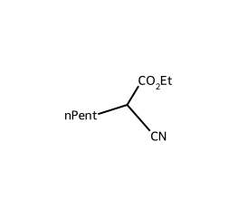 CCCCCC(C#N)C(=O)OCC